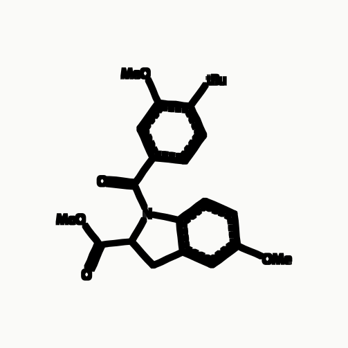 COC(=O)C1Cc2cc(OC)ccc2N1C(=O)c1ccc(C(C)(C)C)c(OC)c1